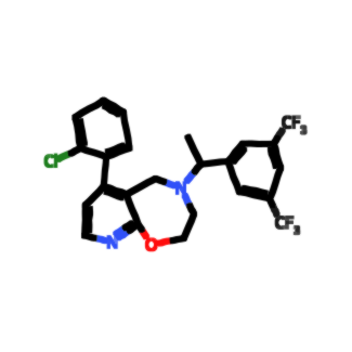 CC(c1cc(C(F)(F)F)cc(C(F)(F)F)c1)N1CCOc2nccc(-c3ccccc3Cl)c2C1